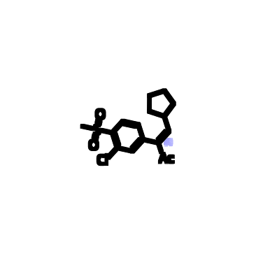 CC(=O)/C(=C/C1CCCC1)c1ccc(S(C)(=O)=O)c(Cl)c1